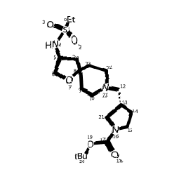 CCS(=O)(=O)NC1COC2(CCN(C[C@@H]3CCN(C(=O)OC(C)(C)C)C3)CC2)C1